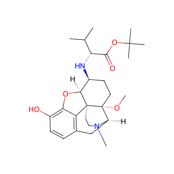 CO[C@@]12CC[C@H](N[C@@H](C(=O)OC(C)(C)C)C(C)C)[C@@H]3Oc4c(O)ccc5c4[C@@]31CCN(C)[C@@H]2C5